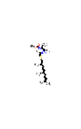 C=C(NC(CSC/C=C(\C)CC/C=C(\C)CCC=C(C)C)C(C)=O)C(CC(=O)O)NC(=O)OC(C)(C)C